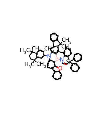 Cc1cc2c(cc1N1c3cc4c(c5c3B(c3c1ccc1c3oc3ccccc31)N1c3ccccc3[Si](c3ccccc3)(c3ccccc3)c3cccc-5c31)C(C)(C)c1ccccc1-4)C(C)(C)CCC2(C)C